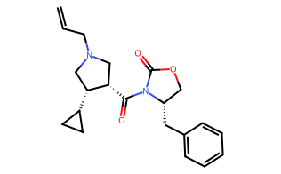 C=CCN1C[C@H](C(=O)N2C(=O)OC[C@@H]2Cc2ccccc2)[C@H](C2CC2)C1